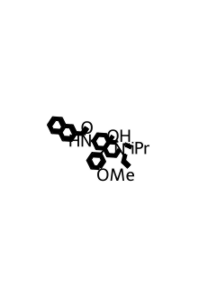 C=CC[N@@+]1(CC(C)C)CC[C@]2(c3cccc(OC)c3)C[C@@H](NC(=O)c3ccc4ccccc4c3)CCC2(O)C1